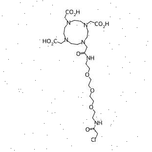 O=C(O)CN1CCN(CC(=O)O)CCN(CC(=O)NCCOCCOCCOCCNC(=O)CCl)CCN(CC(=O)O)CC1